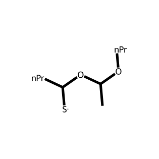 CCCOC(C)OC([S])CCC